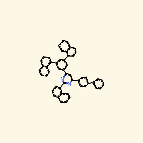 c1ccc(-c2ccc(-c3cc(-c4cc(-c5cccc6ccccc56)cc(-c5cccc6ccccc56)c4)nc(-c4cccc5ccccc45)n3)cc2)cc1